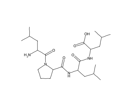 CC(C)CC(N)C(=O)N1CCCC1C(=O)NC(CC(C)C)C(=O)NC(CC(C)C)C(=O)O